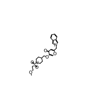 COCCS(=O)(=O)N1CCC(COc2coc(Cn3cc4ccccc4c3)cc2=O)CC1